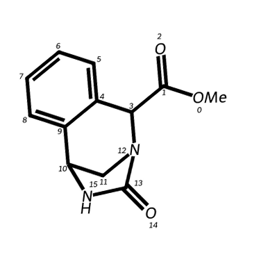 COC(=O)C1c2ccccc2C2CN1C(=O)N2